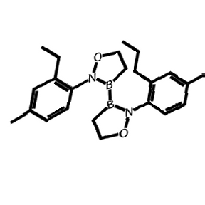 CCCc1cc(C)ccc1N1OCCB1B1CCON1c1ccc(C)cc1CC